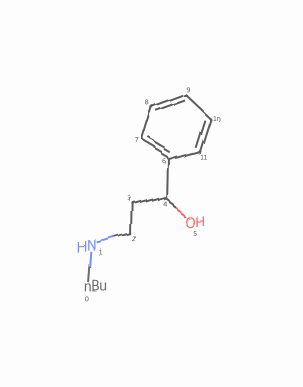 CCCCNCCC(O)c1ccccc1